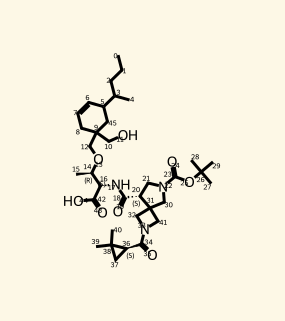 CCCC(C)C1C=CCC(CO)(CO[C@H](C)[C@H](NC(=O)[C@@H]2CN(C(=O)OC(C)(C)C)CC23CN(C(=O)[C@H]2CC2(C)C)C3)C(=O)O)C1